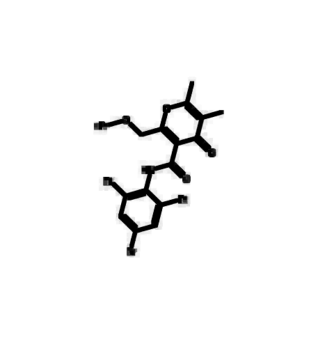 CCCOCc1oc(C)c(C)c(=O)c1C(=O)Nc1c(CC)cc(Br)cc1CC